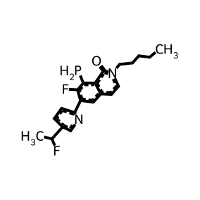 CCCCCn1ccc2cc(-c3ccc(C(C)F)cn3)c(F)c(P)c2c1=O